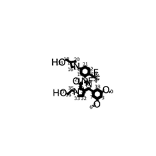 COc1cc(OC)cc(-c2nn(-c3cc(N4CC(CO)C4)ccc3C(F)(F)F)c(=O)c3c2ccn3CCO)c1